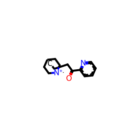 O=C(CC1CC2CC[N+]1CC2)c1ccccn1